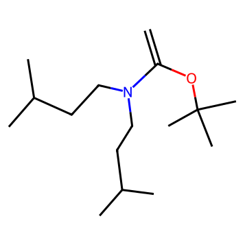 C=C(OC(C)(C)C)N(CCC(C)C)CCC(C)C